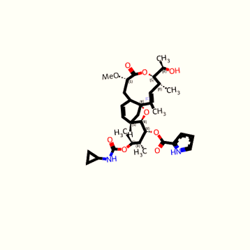 CO[C@H]1CC2C=C[C@@H]3C[C@]2(O[C@H]3[C@H](OC(=O)c2ccc[nH]2)[C@H](C)[C@H](C)OC(=O)NC2CC2)/C(C)=C/[C@@H](C)[C@@H]([C@@H](C)O)OC1=O